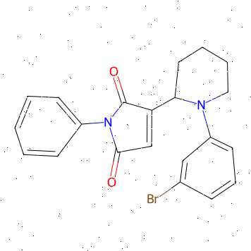 O=C1C=C(C2CCCCN2c2cccc(Br)c2)C(=O)N1c1ccccc1